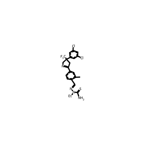 CCN(N=Cc1ccc(C2=NCC(c3cc(Cl)cc(Cl)c3)(C(F)(F)F)C2)cc1C)C(N)=S